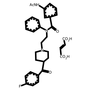 CC(=O)Nc1cccc(C(=O)N(CCN2CCC(C(=O)c3ccc(F)cc3)CC2)c2ccccc2)c1.O=C(O)/C=C/C(=O)O